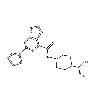 C[C@H](O)C1CCC(NC(=O)c2nc(-n3ccnc3)cc3ccsc23)CC1